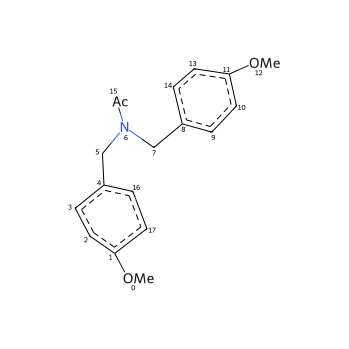 COc1ccc(CN(Cc2ccc(OC)cc2)C(C)=O)cc1